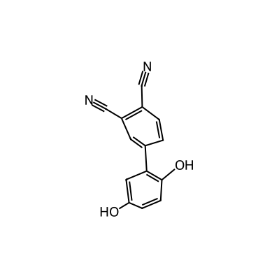 N#Cc1ccc(-c2cc(O)ccc2O)cc1C#N